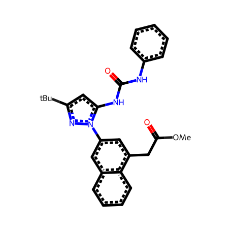 COC(=O)Cc1cc(-n2nc(C(C)(C)C)cc2NC(=O)Nc2ccccc2)cc2ccccc12